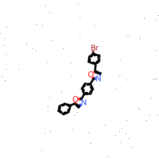 Brc1ccc(-c2cnc(-c3ccc(-c4ncc(-c5ccccc5)o4)cc3)o2)cc1